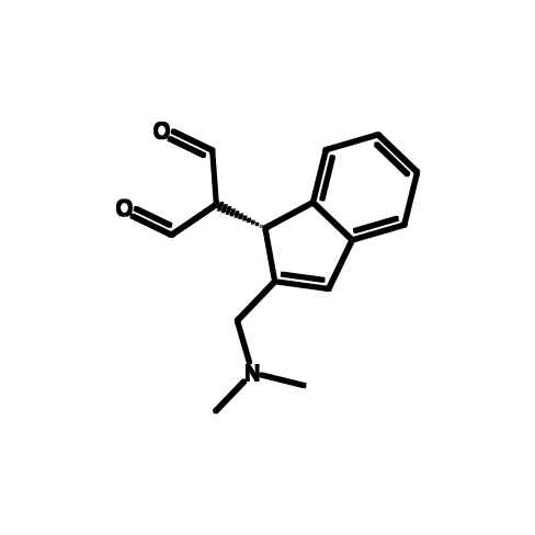 CN(C)CC1=Cc2ccccc2[C@H]1C(C=O)C=O